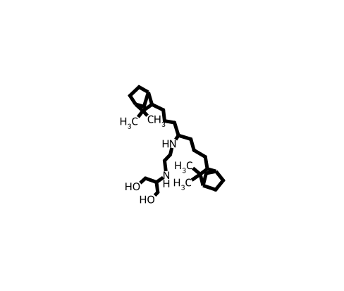 CC1(C)C2CCC(C2)C1CCCC(CCCC1C2CCC(C2)C1(C)C)NCCNC(CO)CO